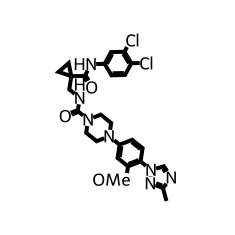 COc1cc(N2CCN(C(=O)NCC3(C(=O)Nc4ccc(Cl)c(Cl)c4)CC3)CC2)ccc1-n1cnc(C)n1